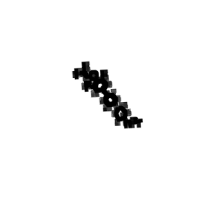 CCC[C@H]1CC[C@H](c2ccc(-c3cc(F)c(OC=C(F)F)c(F)c3)cc2)CC1